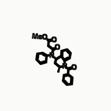 COC(=O)CC(=O)N(c1ccccc1)[C@@H]1C[C@H](C)N(C(=O)c2ccccc2)c2ccccc21